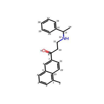 Cc1cccc2cc(C(=O)CCNC(C)c3ccccc3)ccc12